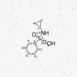 Cl.O=S(=O)(NC1CC1)c1ccccc1